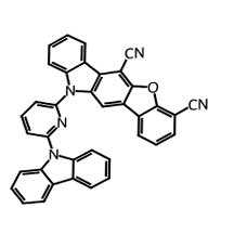 N#Cc1cccc2c1oc1c(C#N)c3c4ccccc4n(-c4cccc(-n5c6ccccc6c6ccccc65)n4)c3cc12